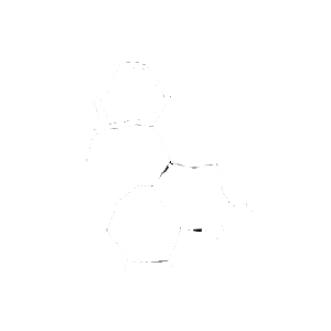 NCC(c1ccccc1Cl)[C@@H]1CCCC[C@@H]1O